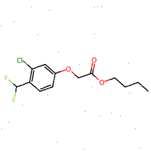 CCCCOC(=O)COc1ccc(C(F)F)c(Cl)c1